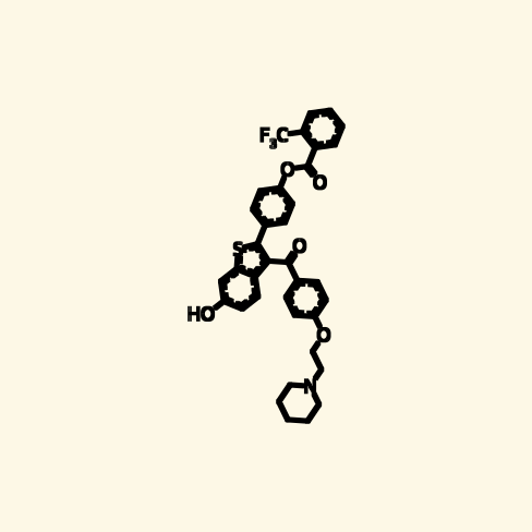 O=C(Oc1ccc(-c2sc3cc(O)ccc3c2C(=O)c2ccc(OCCN3CCCCC3)cc2)cc1)c1ccccc1C(F)(F)F